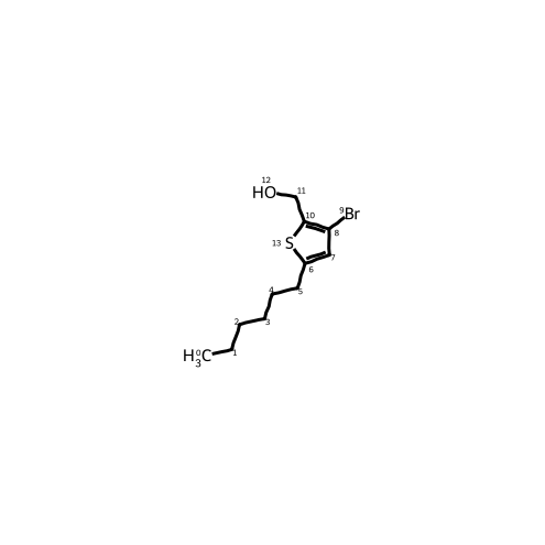 CCCCCCc1cc(Br)c(CO)s1